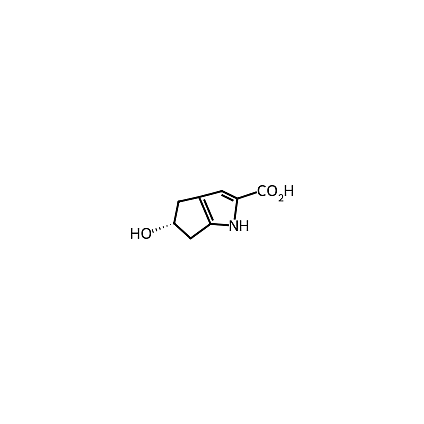 O=C(O)c1cc2c([nH]1)C[C@H](O)C2